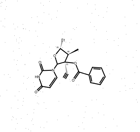 C#C[C@]1(OC(=O)c2ccccc2)C(n2ccc(=O)[nH]c2=O)O[C@H](CC)[C@H]1C